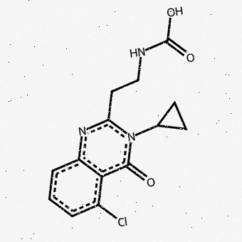 O=C(O)NCCc1nc2cccc(Cl)c2c(=O)n1C1CC1